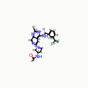 CC(=O)N[C@H]1CCN(c2cc3c(N[C@H](C)c4cccc(C(F)F)c4)nc(C)nc3cn2)C1